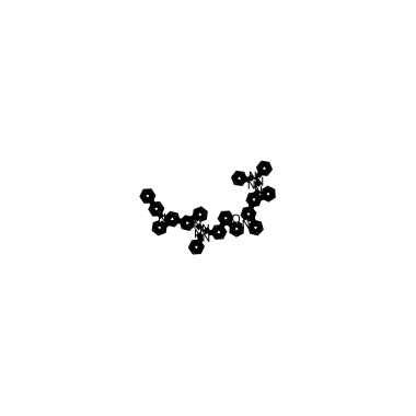 c1ccc(-c2ccc(-n3c4ccccc4c4cc(-c5ccc6c(c5)c5ccccc5n6-c5nc(-c6ccccc6)nc(-c6cccc(-c7cccc8oc9c(-n%10c%11ccccc%11c%11cc(-c%12ccc%13c(c%12)c%12ccccc%12n%13-c%12nc(-c%13ccccc%13)nc(-c%13ccccc%13)n%12)ccc%11%10)cccc9c78)c6)n5)ccc43)cc2)cc1